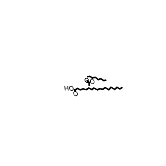 CCCCCC(CC)OC(C)=O.CCCCCCCCCCCCCCCCCC(=O)O